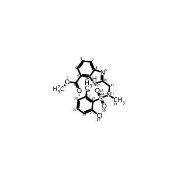 COC(=O)c1cccc2nc(CN(C)S(=O)(=O)c3c(C)cccc3Cl)[nH]c12